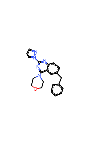 c1ccc(Cc2ccc3nc(-n4cccn4)nc(N4CCOCC4)c3c2)cc1